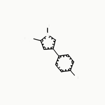 Cc1ccc(-c2cc(C(=O)O)n(C)c2)cc1